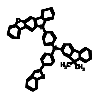 CC1(C)c2ccccc2-c2ccc(N(c3ccc(-c4cc5ccccc5s4)cc3)c3ccc(-n4c5ccccc5c5cc6oc7ccccc7c6cc54)cc3)cc21